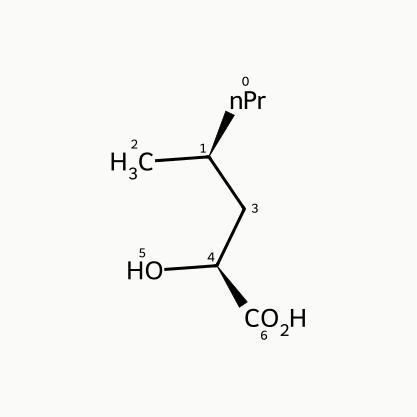 CCC[C@H](C)C[C@H](O)C(=O)O